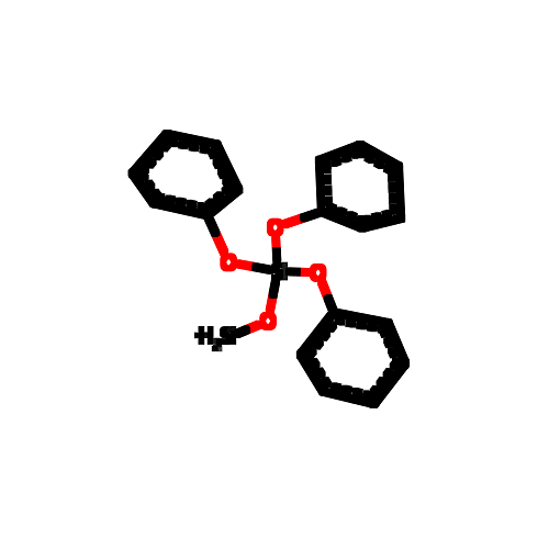 [SiH2]O[Si](Oc1ccccc1)(Oc1ccccc1)Oc1ccccc1